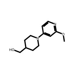 COc1cc(N2CCC(CO)CC2)ccn1